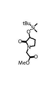 COC(=O)CN1CCC(O[Si](C)(C)C(C)(C)C)C1=O